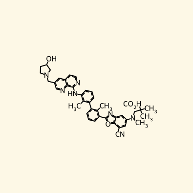 Cc1c(Nc2nccc3cc(CN4CCC(O)C4)cnc23)cccc1-c1cccc(-c2nc3cc(N(C)CC(C)(C)C(=O)O)cc(C#N)c3o2)c1C